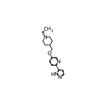 CSN1CCC(COc2ccc(-c3ccn[nH]3)nc2)CC1